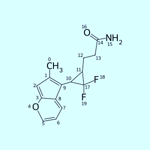 Cc1cc2occcc-2c1C1C(CCC(N)=O)C1(F)F